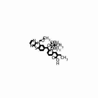 CCC(=Cc1cccc(C(O[Si](C)(C)C(C)(C)C)c2ccc3c(c2)N(COC)c2nccnc2S3)n1)C(=O)O